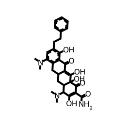 CN(C)c1cc(CCc2ccccc2)c(O)c2c1CC1CC3C(N(C)C)C(O)=C(C(N)=O)C(=O)C3(O)C(O)=C1C2=O